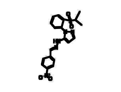 CC(C)S(=O)(=O)c1ccccc1-n1nccc1N/N=C/c1ccc([N+](=O)[O-])cc1